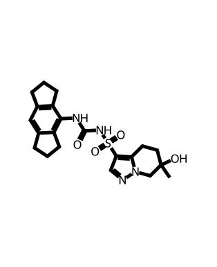 CC1(O)CCc2c(S(=O)(=O)NC(=O)Nc3c4c(cc5c3CCC5)CCC4)cnn2C1